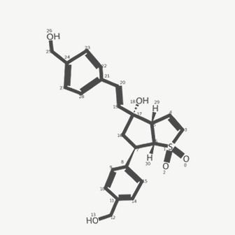 O=S1(=O)C=C[C@@H]2[C@H]1[C@@H](c1ccc(CO)cc1)C[C@@]2(O)/C=C/c1ccc(CO)cc1